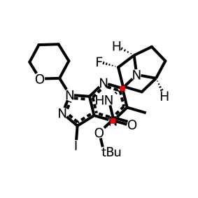 Cc1nc2c(I)nn(C3CCCCO3)c2nc1N1[C@H]2CC[C@@H]1[C@@H](F)[C@@H](NC(=O)OC(C)(C)C)C2